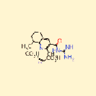 Cc1nc2c(cc1C(=O)NC(=N)N)CCCC2C.O=C(O)/C=C\C(=O)O